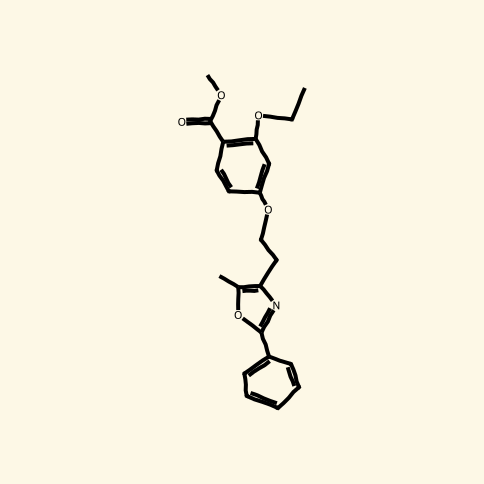 CCOc1cc(OCCc2nc(-c3ccccc3)oc2C)ccc1C(=O)OC